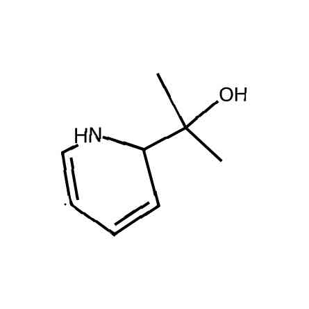 CC(C)(O)C1C=C[C]=CN1